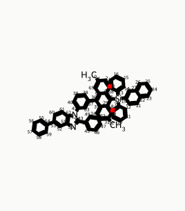 Cc1ccc2c([Si](c3ccccc3)(c3ccccc3)c3ccc4ccccc4c3)c3cc(C)ccc3c(-c3cccc(-n4c(-c5ccccc5)nc5cc(-c6ccccc6)ccc54)c3)c2c1